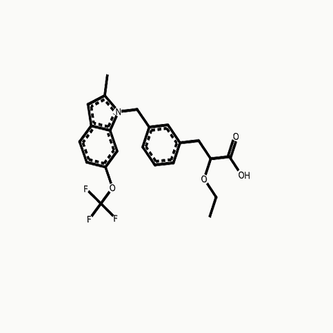 CCOC(Cc1cccc(Cn2c(C)cc3ccc(OC(F)(F)F)cc32)c1)C(=O)O